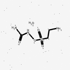 NCCS(=O)(=O)ONC(N)=O.O